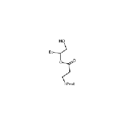 CCCCCCCC(=O)OC(CC)CO